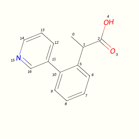 CC(C(=O)O)c1ccccc1-c1cccnc1